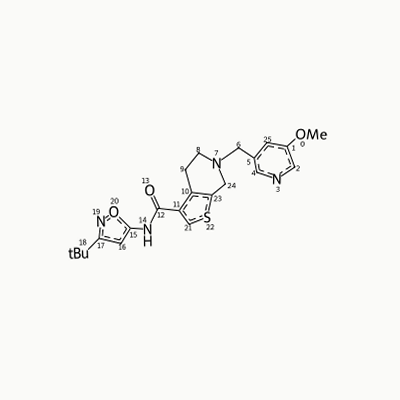 COc1cncc(CN2CCc3c(C(=O)Nc4cc(C(C)(C)C)no4)csc3C2)c1